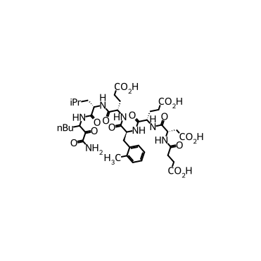 CCCCC(NC(=O)[C@H](CC(C)C)NC(=O)[C@H](CCC(=O)O)NC(=O)[C@H](Cc1ccccc1C)NC(=O)[C@H](CCC(=O)O)NC(=O)[C@H](CC(=O)O)NC(=O)CCC(=O)O)C(=O)C(N)=O